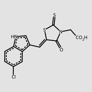 O=C(O)CN1C(=O)/C(=C/c2c[nH]c3ccc(Cl)cc23)SC1=S